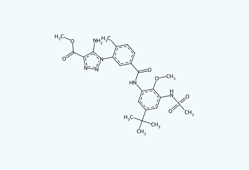 COC(=O)c1nnn(-c2cc(C(=O)Nc3cc(C(C)(C)C)cc(NS(C)(=O)=O)c3OC)ccc2C)c1N